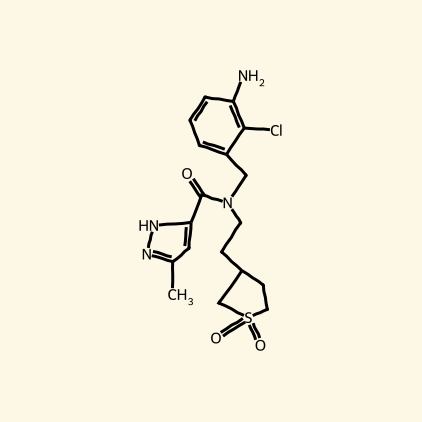 Cc1cc(C(=O)N(CCC2CCS(=O)(=O)C2)Cc2cccc(N)c2Cl)[nH]n1